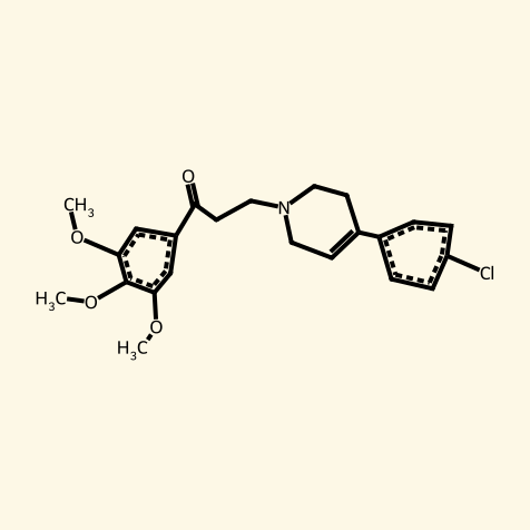 COc1cc(C(=O)CCN2CC=C(c3ccc(Cl)cc3)CC2)cc(OC)c1OC